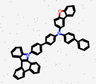 c1ccc(-c2ccc(N(c3ccc(-c4ccc(-n5c6ccccc6c6c7ccccc7c7ccccc7c65)cc4)cc3)c3ccc4oc5ccccc5c4c3)cc2)cc1